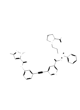 Cc1cc(C(=O)Nc2cccc(C#Cc3cncc(C(=O)N=[S@](=O)(CCCN4C[C@H](O)CC4C(=O)O)c4ccccc4)c3)c2)n(C)n1